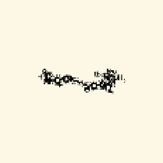 CC(C)(C)n1nc(-c2noc(C3CC3)c2-c2ncc(C3CCN(C(=O)CCCCCCCN4CCN(c5ccc(NC6CCC(=O)NC6=O)cc5F)CC4)CC3)cn2)c2c(N)ncnc21